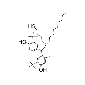 CCCCCCCCCC(CCCCS)CC(c1cc(C(C)(C)C)c(O)cc1C)c1cc(C(C)(C)C)c(O)cc1C